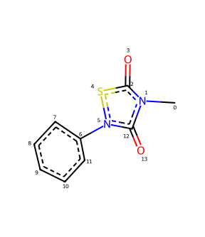 Cn1c(=O)sn(-c2ccccc2)c1=O